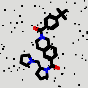 CC(C)(C)c1ccc(C(=O)N2CCc3cc(C(=O)N4CCC[C@H]4CN4CCCC4)ccc3C2)cc1